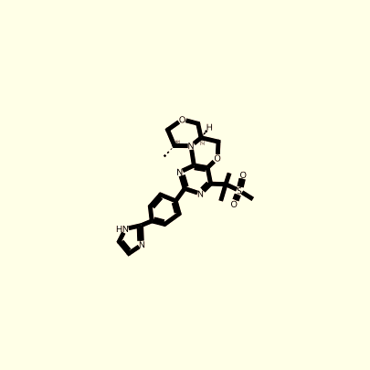 C[C@@H]1COC[C@H]2COc3c(nc(-c4ccc(-c5ncc[nH]5)cc4)nc3C(C)(C)S(C)(=O)=O)N21